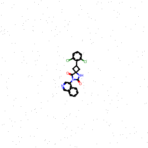 O=C1NC2(CC(c3c(Cl)cccc3Cl)C2)C(=O)N1c1cncc2ccccc12